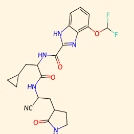 N#CC(CC1CCNC1=O)NC(=O)C(CC1CC1)NC(=O)c1nc2c(OC(F)F)cccc2[nH]1